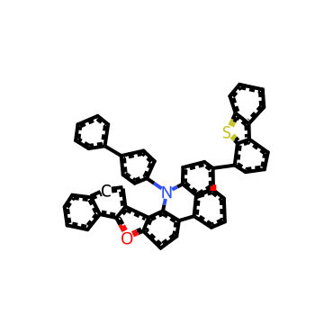 c1ccc(-c2ccc(N(c3ccc(-c4cccc5c4sc4ccccc45)cc3)c3c(-c4ccccc4)ccc4oc5c6ccccc6ccc5c34)cc2)cc1